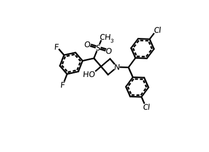 CS(=O)(=O)C(c1cc(F)cc(F)c1)C1(O)CN(C(c2ccc(Cl)cc2)c2ccc(Cl)cc2)C1